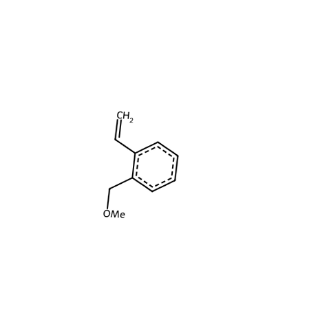 C=Cc1ccccc1COC